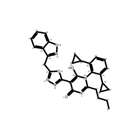 CCCCc1nc(=O)c(-c2nnc(Cc3noc4ccccc34)o2)c(O)n1-c1c(C2CC2)cccc1C1CC1